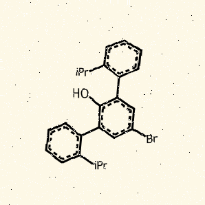 CC(C)c1ccccc1-c1cc(Br)cc(-c2ccccc2C(C)C)c1O